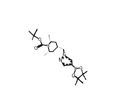 C[C@@H]1C[C@H](Cn2cc(B3OC(C)(C)C(C)(C)O3)cn2)C[C@H](C)N1C(=O)OC(C)(C)C